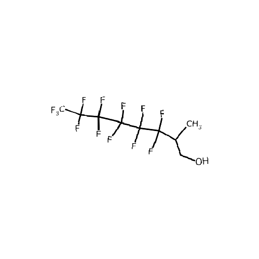 CC(CO)C(F)(F)C(F)(F)C(F)(F)C(F)(F)C(F)(F)C(F)(F)F